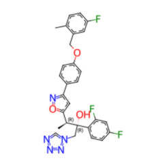 Cc1ccc(F)cc1COc1ccc(-c2cc([C@H](C)[C@](O)(Cn3cnnn3)c3ccc(F)cc3F)on2)cc1